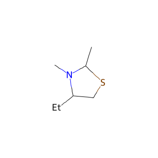 CCC1CSC(C)N1C